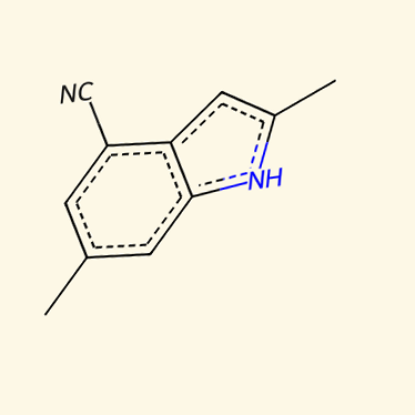 Cc1cc(C#N)c2cc(C)[nH]c2c1